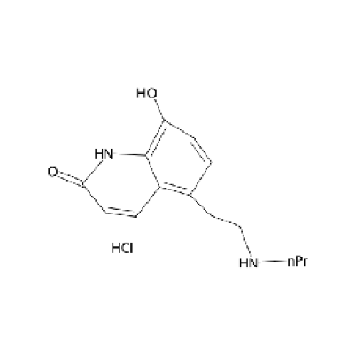 CCCNCCc1ccc(O)c2[nH]c(=O)ccc12.Cl